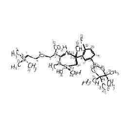 CN1C(N(COCC[Si](C)(C)C)C(=O)O)=NC(C)(c2cc(B3OC(C)(C)C(C)(C)O3)ccc2F)CS1(O)O